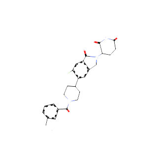 Cc1cccc(C(=O)N2CCC(c3cc4c(cc3F)C(=O)N(C3CCC(=O)NC3=O)C4)CC2)c1